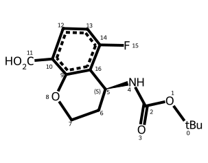 CC(C)(C)OC(=O)N[C@H]1CCOc2c(C(=O)O)ccc(F)c21